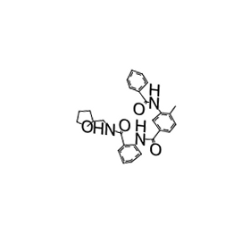 Cc1ccc(C(=O)Nc2ccccc2C(=O)NCC2CCCO2)cc1NC(=O)c1ccccc1